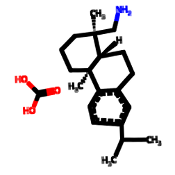 CC(C)c1ccc2c(c1)CC[C@H]1[C@](C)(CN)CCC[C@]21C.O=C(O)O